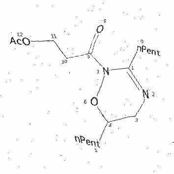 CCCCCC1=NCC(CCCCC)ON1C(=O)CCOC(C)=O